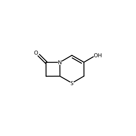 O=C1CC2SCC(O)=CN12